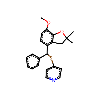 COc1ccc(C(Sc2ccncc2)c2ccccc2)c2c1OC(C)(C)C2